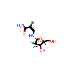 C[C@@]1(F)C(O)[C@@](F)(CO)O[C@H]1N/C=C(/Br)C(N)=O